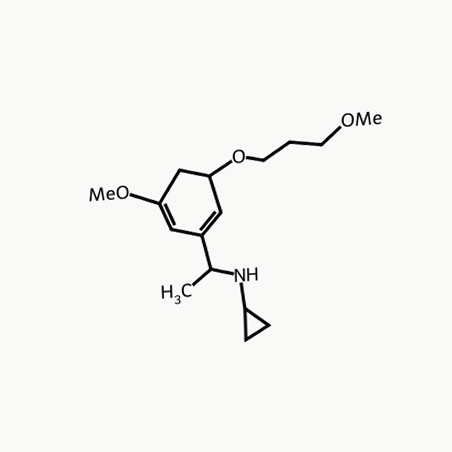 COCCCOC1C=C(C(C)NC2CC2)C=C(OC)C1